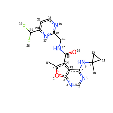 Cc1oc2ncnc(NC3(C)CC3)c2c1C(=O)NCc1nccc(C(F)F)n1